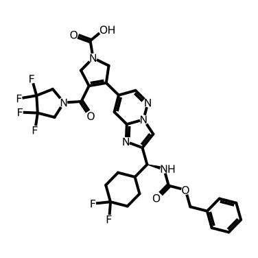 O=C(N[C@H](c1cn2ncc(C3=C(C(=O)N4CC(F)(F)C(F)(F)C4)CN(C(=O)O)C3)cc2n1)C1CCC(F)(F)CC1)OCc1ccccc1